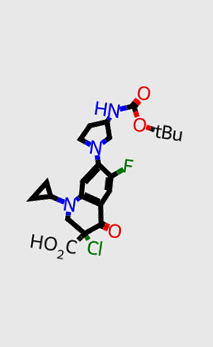 CC(C)(C)OC(=O)NC1CCN(c2cc3c(cc2F)C(=O)C(Cl)(C(=O)O)CN3C2CC2)C1